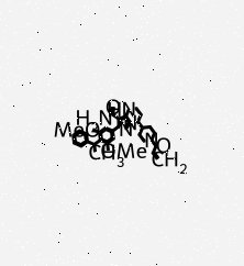 C=CC(=O)N1CCC(C2CCNc3c(C(N)=O)c(-c4cc(OC)c(C(C)c5ccccc5)c(OC)c4)nn32)CC1